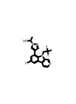 CC(O)n1cc(-c2cc(Cl)cc3c4ccncc4n(CC(F)(F)F)c23)cn1